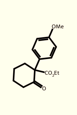 CCOC(=O)C1(c2ccc(OC)cc2)CCCCC1=O